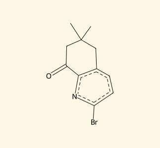 CC1(C)CC(=O)c2nc(Br)ccc2C1